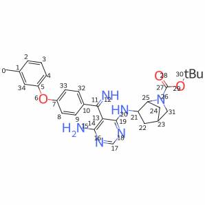 Cc1cccc(Oc2ccc(C(=N)c3c(N)ncnc3NC3CC4CC3N(C(=O)OC(C)(C)C)C4)cc2)c1